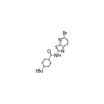 CC(C)(C)c1ccc(C(=O)Nc2nc3ccc(Br)nc3s2)cc1